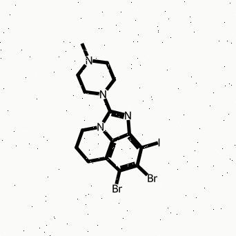 CN1CCN(c2nc3c(I)c(Br)c(Br)c4c3n2CCC4)CC1